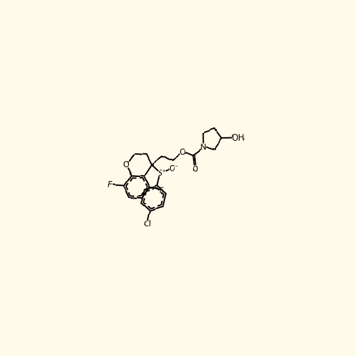 O=C(OCCC1([S+]([O-])c2ccc(Cl)cc2)CCOc2c(F)ccc(F)c21)N1CCC(O)C1